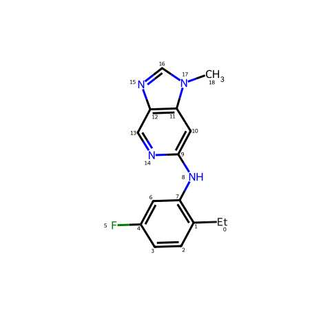 CCc1ccc(F)cc1Nc1cc2c(cn1)ncn2C